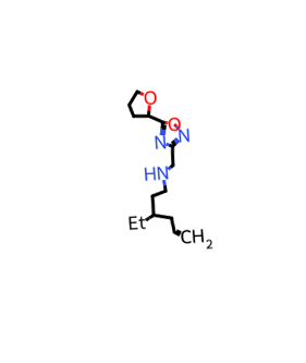 C=CCC(CC)CCNCc1noc(C2CCCO2)n1